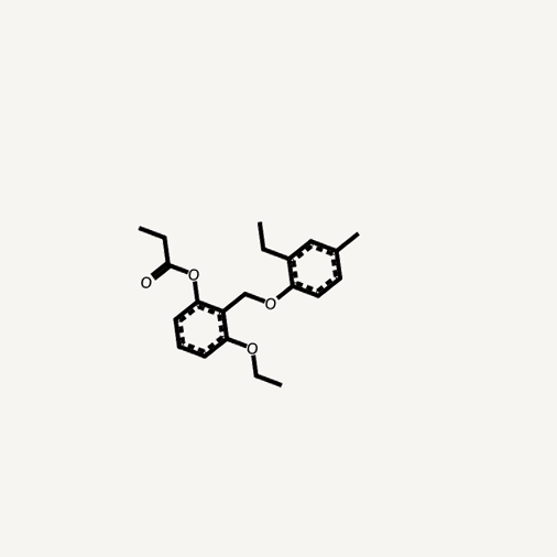 CCOc1cccc(OC(=O)CC)c1COc1ccc(C)cc1CC